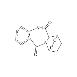 O=C1Nc2ccccc2C(=O)N2C3CCC(CC3)C12